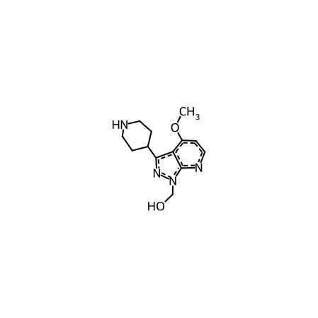 COc1ccnc2c1c(C1CCNCC1)nn2CO